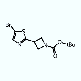 CC(C)(C)OC(=O)N1CC(c2ncc(Br)s2)C1